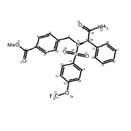 COC(=O)c1ccc(CN([C@@H](C(N)=O)c2ccccc2)S(=O)(=O)c2ccc(OC(F)(F)F)cc2)cc1